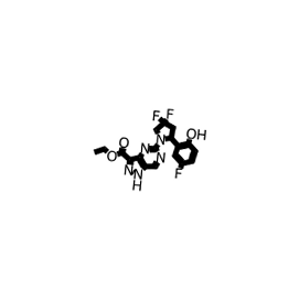 CCOC(=O)c1n[nH]c2cnc(N3CC(F)(F)CC3c3cc(F)ccc3O)nc12